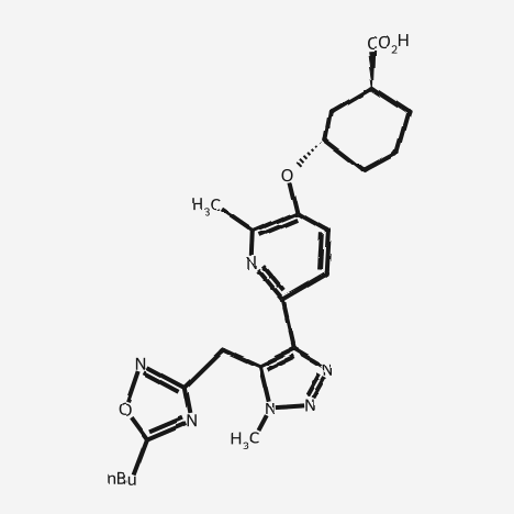 CCCCc1nc(Cc2c(-c3ccc(O[C@H]4CCC[C@H](C(=O)O)C4)c(C)n3)nnn2C)no1